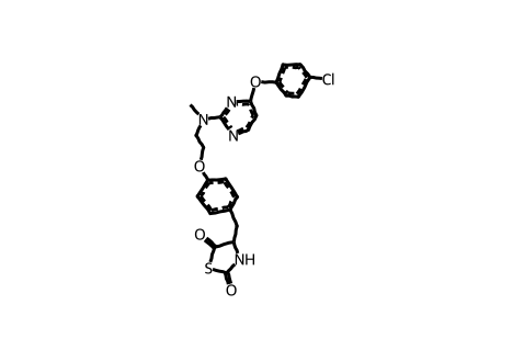 CN(CCOc1ccc(CC2NC(=O)SC2=O)cc1)c1nccc(Oc2ccc(Cl)cc2)n1